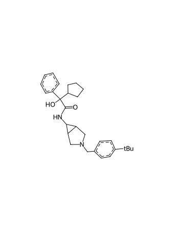 CC(C)(C)c1ccc(CN2CC3C(C2)C3NC(=O)C(O)(c2ccccc2)C2CCCC2)cc1